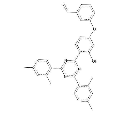 C=Cc1cccc(Oc2ccc(-c3nc(-c4ccc(C)cc4C)nc(-c4ccc(C)cc4C)n3)c(O)c2)c1